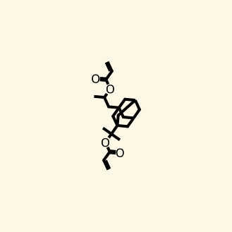 C=CC(=O)OC(C)CC12CC3CC(C1)CC(C(C)(C)OC(=O)C=C)(C3)C2